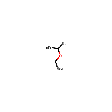 [CH2]CC(CCC)OCC(C)(C)C